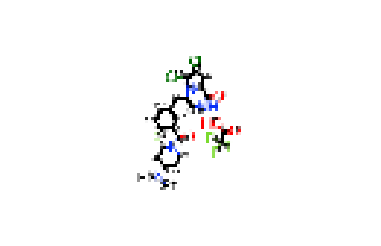 CCN(CC)C1CCN(C(=O)c2cc(Cc3c[nH]c(=O)c4cc(Cl)c(Cl)n34)ccc2F)CC1.O=C(O)C(F)(F)F